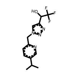 CC(C)c1ccc(Cn2cc(C(O)C(F)(F)F)nn2)nc1